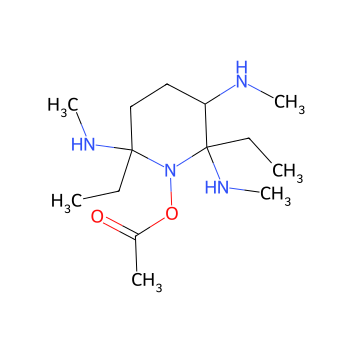 CCC1(NC)CCC(NC)C(CC)(NC)N1OC(C)=O